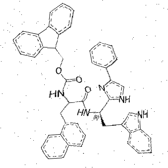 O=C(NC(Cc1cccc2ccccc12)C(=O)N[C@H](Cc1c[nH]c2ccccc12)c1nc(-c2ccccc2)c[nH]1)OCC1c2ccccc2-c2ccccc21